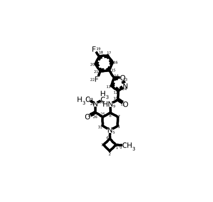 CC1CCC1N1CCC(NC(=O)c2cc(-c3ccc(F)cc3F)on2)C(C(=O)N(C)C)C1